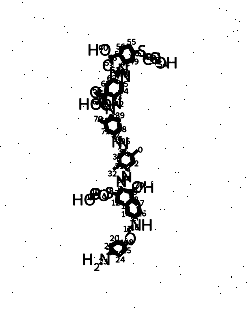 Cc1cc(N=Nc2c(SOOO)cc3cc(NCOc4ccc(N)cc4)ccc3c2O)c(C)cc1N=Nc1ccc(N=Nc2cc3nn(-c4cc(SOOO)ccc4C(=O)O)nc3cc2S(=O)(=O)O)c(C)c1